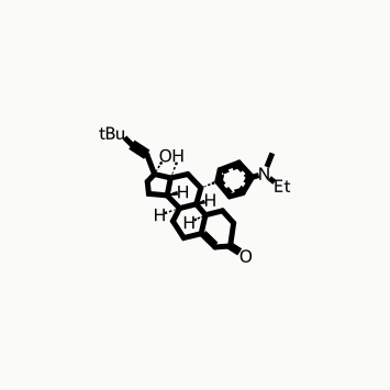 CCN(C)c1ccc([C@H]2C[C@@]3(C)[C@@H](CC[C@@]3(O)C#CC(C)(C)C)[C@@H]3CCC4=CC(=O)CC[C@@H]4[C@H]32)cc1